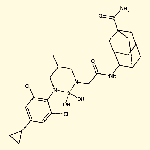 CC1CN(CC(=O)NC2C3CC4CC2CC(C(N)=O)(C4)C3)S(O)(O)N(c2c(Cl)cc(C3CC3)cc2Cl)C1